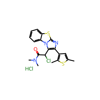 Cc1cc(-c2nc3sc4ccccc4n3c2C(Cl)C(=O)N(C)C)c(C)s1.Cl